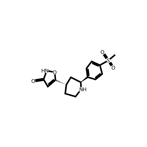 CS(=O)(=O)c1ccc([C@@H]2C[C@@H](c3cc(=O)[nH]o3)CCN2)cc1